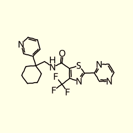 O=C(NCC1(c2cccnc2)CCCCC1)c1sc(-c2cnccn2)nc1C(F)(F)F